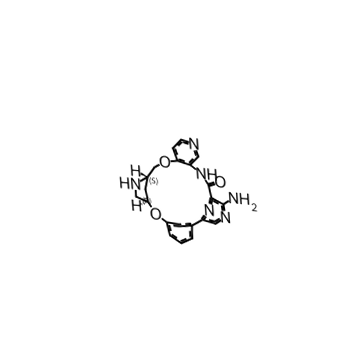 Nc1ncc2nc1C(=O)Nc1cnccc1OC[C@@H]1C[C@H](CN1)Oc1cccc-2c1